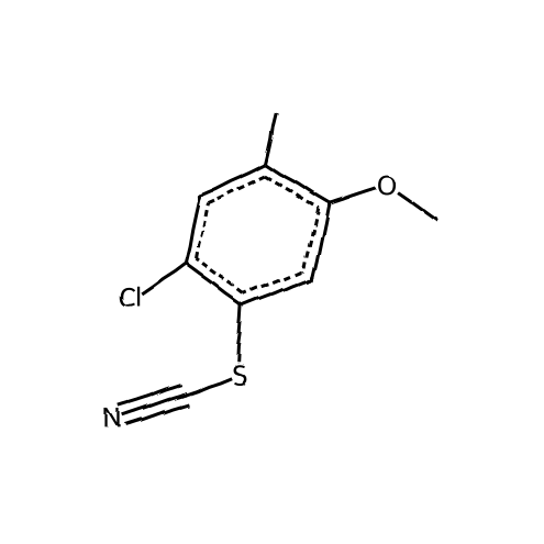 COc1cc(SC#N)c(Cl)cc1C